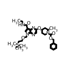 CCNC(=O)c1cn(COCCS(C)(C)C)c2ncc(O[C@H]3CCN(C(=O)OCc4ccccc4)[C@H](C)C3)nc12